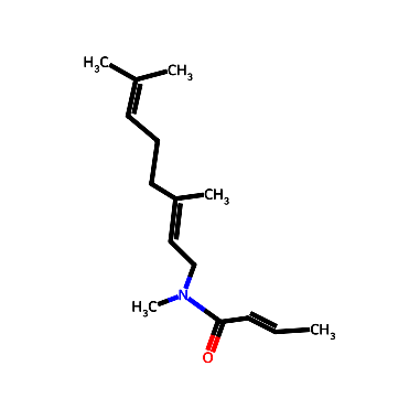 C/C=C/C(=O)N(C)C/C=C(\C)CCC=C(C)C